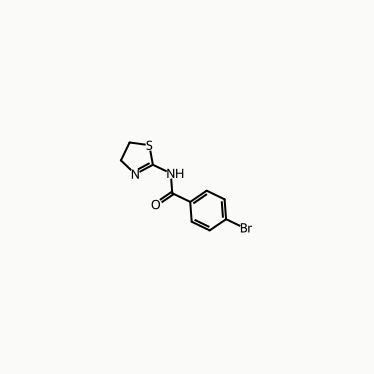 O=C(NC1=NCCS1)c1ccc(Br)cc1